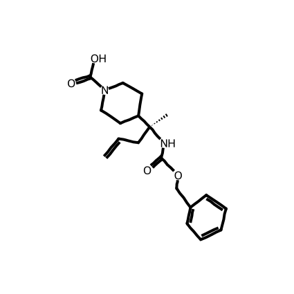 C=CC[C@](C)(NC(=O)OCc1ccccc1)C1CCN(C(=O)O)CC1